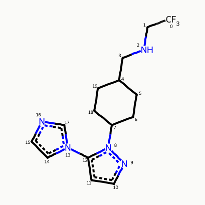 FC(F)(F)CNCC1CCC(n2nccc2-n2ccnc2)CC1